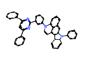 C1=CC2c3c(cc4cccc5c4c3C=CN5c3cccc(-c4nc(-c5ccccc5)cc(-c5ccccc5)n4)c3)N(c3ccccc3)C2C=C1